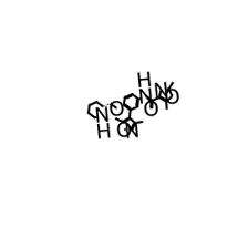 Cc1nc(C(=O)Nc2ccc(OC[C@H]3CCCCN3)c(-c3c(C)noc3C)c2)c(C)o1